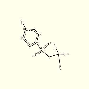 O=S(=O)(CC(F)(F)F)c1ccc(F)cc1